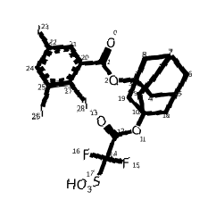 O=C(OC12CC3CC(C1)CC(OC(=O)C(F)(F)S(=O)(=O)O)(C3)C2)c1cc(I)cc(I)c1I